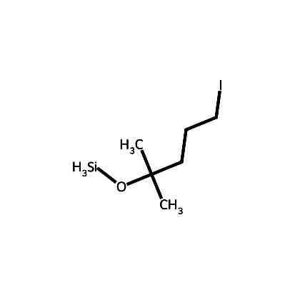 CC(C)(CCCI)O[SiH3]